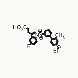 CCOc1ccc(-c2cccc(S(=O)(=O)n3cc(CCC(=O)O)c4cc(F)ccc43)c2)c(C)c1